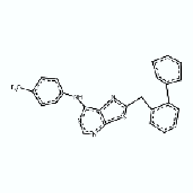 FC(F)(F)c1ccc(Nc2ncnc3sc(Cc4ccccc4-c4ccccc4)nc23)cc1